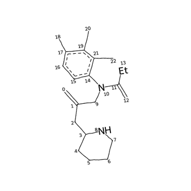 C=C(CC1CCCCN1)CN(C(=C)CC)c1ccc(C)c(C)c1C